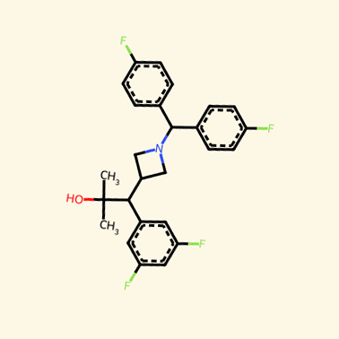 CC(C)(O)C(c1cc(F)cc(F)c1)C1CN(C(c2ccc(F)cc2)c2ccc(F)cc2)C1